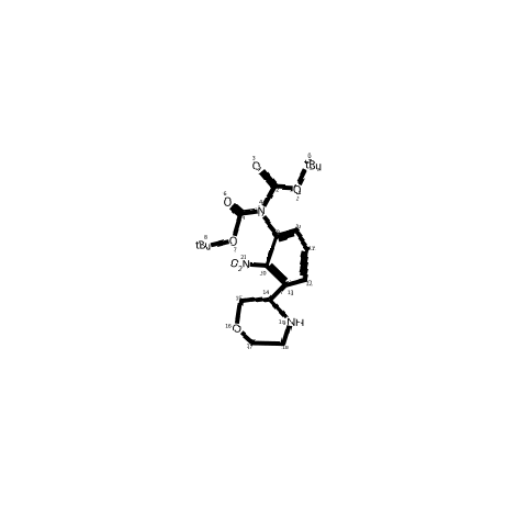 CC(C)(C)OC(=O)N(C(=O)OC(C)(C)C)c1cccc(C2COCCN2)c1[N+](=O)[O-]